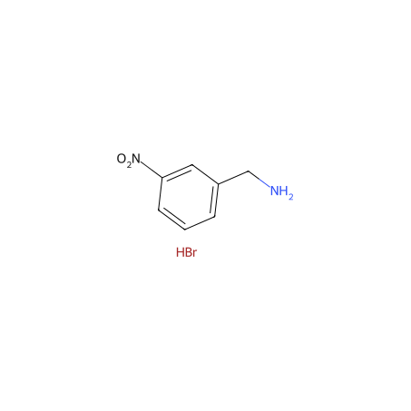 Br.NCc1cccc([N+](=O)[O-])c1